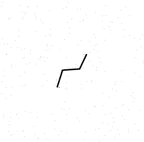 [CH2]CCC